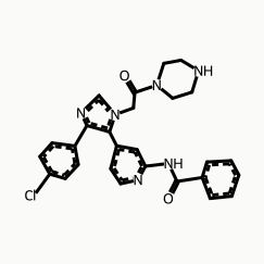 O=C(Nc1cc(-c2c(-c3ccc(Cl)cc3)ncn2CC(=O)N2CCNCC2)ccn1)c1ccccc1